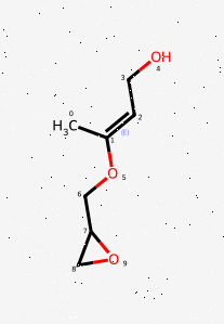 C/C(=C\CO)OCC1CO1